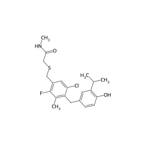 CNC(=O)CSCc1cc(Cl)c(Cc2ccc(O)c(C(C)C)c2)c(C)c1F